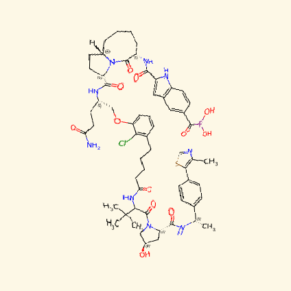 Cc1ncsc1-c1ccc([C@H](C)NC(=O)[C@@H]2C[C@@H](O)CN2C(=O)C(NC(=O)CCCCc2cccc(OC[C@H](CCC(N)=O)NC(=O)[C@@H]3CC[C@@H]4CCCC[C@H](NC(=O)c5cc6cc(C(=O)P(O)O)ccc6[nH]5)C(=O)N43)c2Cl)C(C)(C)C)cc1